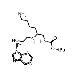 CC(C)(C)OC(=O)NCC(CCCCN)NCCO.CC(C)n1cnc2cncnc21